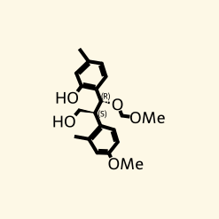 COCO[C@@H](c1ccc(C)cc1O)[C@H](CO)c1ccc(OC)cc1C